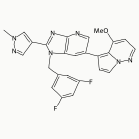 COc1ccnn2ccc(-c3cnc4nc(-c5cnn(C)c5)n(Cc5cc(F)cc(F)c5)c4c3)c12